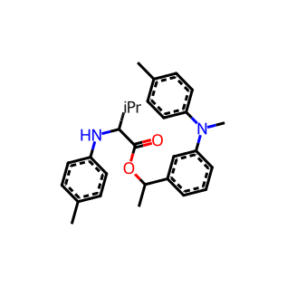 Cc1ccc(NC(C(=O)OC(C)c2cccc(N(C)c3ccc(C)cc3)c2)C(C)C)cc1